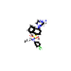 CN(c1ccc(Cl)cc1)S(=O)(=O)c1ccc(N2CCNCC2)c2ccccc12